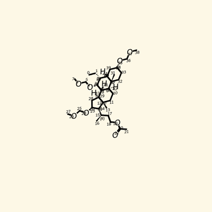 CC[C@H]1[C@@H](OCOC)[C@@H]2[C@H](CC[C@]3(C)[C@@H]([C@H](C)CCOC(C)=O)[C@@H](OCOC)C[C@@H]23)[C@@]2(C)CC[C@@H](OCOC)C[C@@H]12